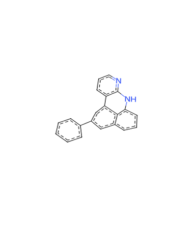 c1ccc(-c2cc3c4c(cccc4c2)Nc2ncccc2-3)cc1